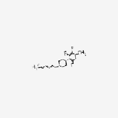 CCCCCC[C@H]1CC[C@H](c2c(F)cc(C)c(F)c2F)CC1